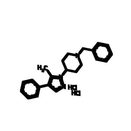 Cc1c(-c2ccccc2)cnn1C1CCN(Cc2ccccc2)CC1.Cl.Cl